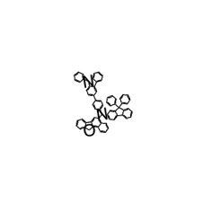 c1ccc(-n2c3ccccc3c3cc(-c4ccc(N(c5ccc6c(c5)C(c5ccccc5)(c5ccccc5)c5ccccc5-6)c5cc6c7ccccc7oc6c6ccccc56)cc4)ccc32)cc1